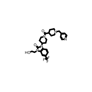 O=C(C1CCN(Cc2ccncc2)CC1)N1CCC(n2c(=O)n(CCO)c3cc(C(F)(F)F)ccc32)CC1